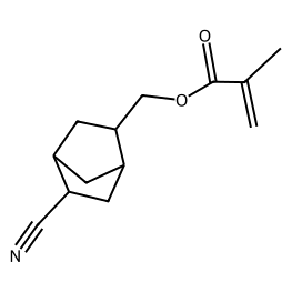 C=C(C)C(=O)OCC1CC2CC1CC2C#N